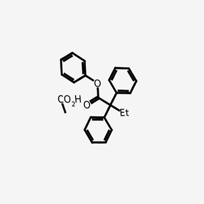 CC(=O)O.CCC(C(=O)Oc1ccccc1)(c1ccccc1)c1ccccc1